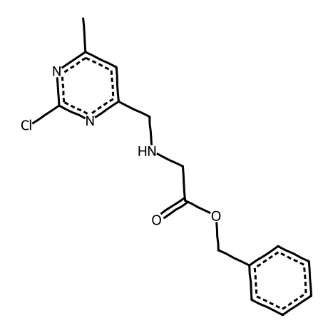 Cc1cc(CNCC(=O)OCc2ccccc2)nc(Cl)n1